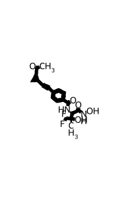 CC(=O)C1CC1C#Cc1ccc(C(=O)N[C@H](C(=O)NO)[C@](C)(O)C(F)F)cc1